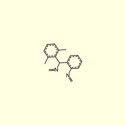 C=Nc1ccccc1C(N=C)c1c(C)cccc1C